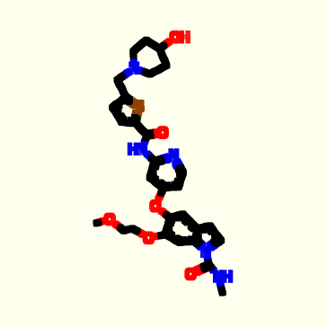 CNC(=O)n1ccc2cc(Oc3ccnc(NC(=O)c4ccc(CN5CCC(O)CC5)s4)c3)c(OCCOC)cc21